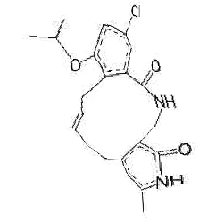 Cc1cc2c(c(=O)[nH]1)CNC(=O)c1cc(Cl)cc(OC(C)C)c1C/C=C/CC2